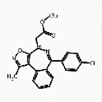 Cc1noc2c1-c1ccccc1C(c1ccc(Cl)cc1)=N[C@@H]2CC(=O)OC(C)(C)C